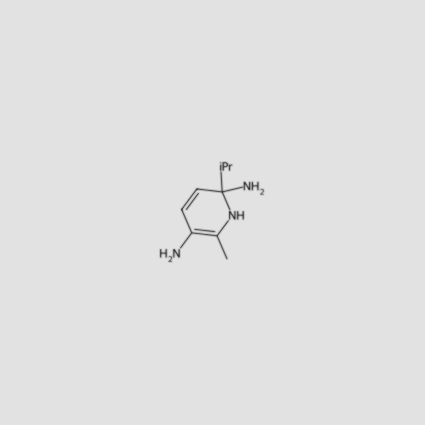 CC1=C(N)C=CC(N)(C(C)C)N1